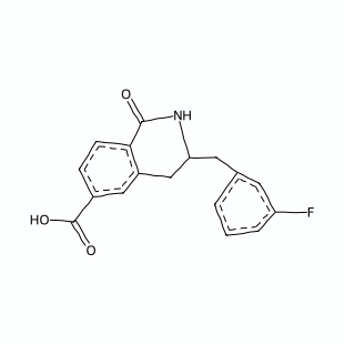 O=C(O)c1ccc2c(c1)CC(Cc1cccc(F)c1)NC2=O